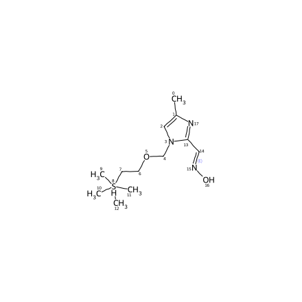 Cc1cn(COCC[SH](C)(C)(C)C)c(/C=N/O)n1